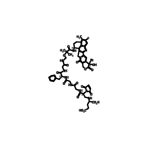 CC[C@@]1(O)C(=O)OCc2c1cc1n(c2=O)Cc2c-1nc1cc(F)c(C)c3c1c2[C@@H](NC(=O)C(C)(C)OCNC(=O)CNC(=O)[C@H](Cc1ccccc1)NC(=O)CNC(=O)CNC(=O)[C@H](CNC(CCC(=O)O)C(=O)O)N1C(=O)C=CC1=O)CC3